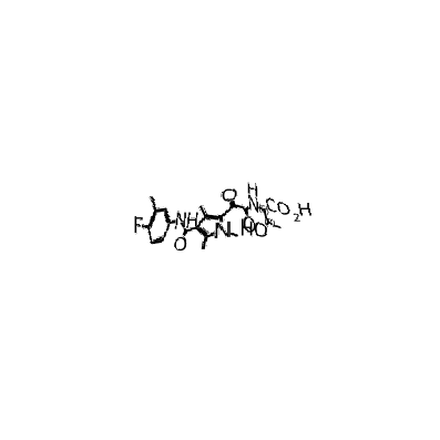 Cc1cc(NC(=O)c2c(C)c(C(=O)C(=O)N[C@H](C(=O)O)[C@@H](C)O)n(C)c2C)ccc1F